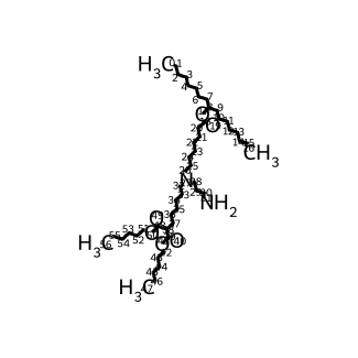 CCCCCCCCC(CCCCCCCC)OC(=O)CCCCCCCN(CCCN)CCCCCCC(C(=O)OCCCCCC)C(=O)OCCCCCC